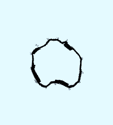 [C]1=C/CCC/C=C/C/C=C/C=C\CC/1